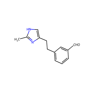 Cc1nc(CCc2cccc(C=O)c2)c[nH]1